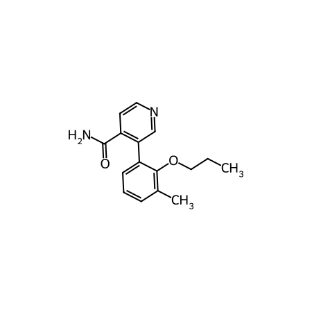 CCCOc1c(C)cccc1-c1cnccc1C(N)=O